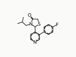 CC(C)CN1C(=O)CSC1c1ccncc1-c1ccc(F)cc1